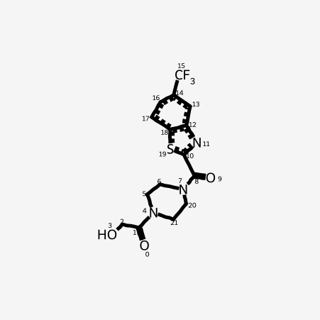 O=C(CO)N1CCN(C(=O)c2nc3cc(C(F)(F)F)ccc3s2)CC1